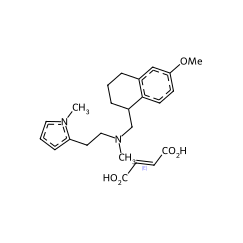 COc1ccc2c(c1)CCCC2CN(C)CCc1cccn1C.O=C(O)/C=C/C(=O)O